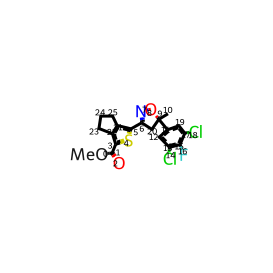 COC(=O)c1sc(C2=NOC(C)(c3cc(Cl)c(F)c(Cl)c3)C2)c2c1CCC2